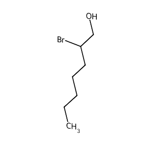 CCCCCC(Br)CO